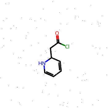 O=C(Cl)CC1C=CC=CN1